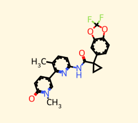 Cc1ccc(NC(=O)C2(c3ccc4c(c3)OC(F)(F)O4)CC2)nc1-c1ccc(=O)n(C)c1